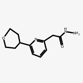 NNC(=O)Cc1cccc(C2CCOCC2)n1